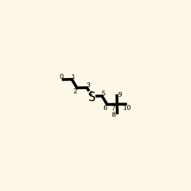 CCCCSCCC(C)(C)C